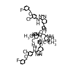 CC(CC(=N)[C@@H](Cn1ccc(-c2ccc3ncnc(Nc4ccc(OCc5cccc(F)c5)c(Cl)c4)c3c2)c1)C(=O)[C@H](Cn1ccc(-c2ccc3ncnc(Nc4ccc(OCc5cccc(F)c5)c(Cl)c4)c3c2)c1)C(=N)CC(C)N(C)C)N(C)C